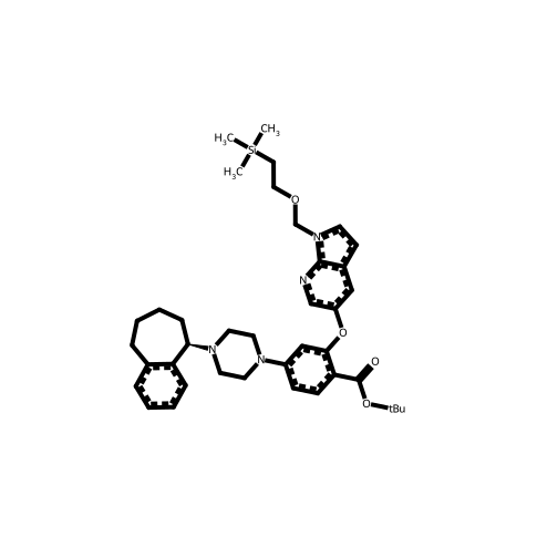 CC(C)(C)OC(=O)c1ccc(N2CCN([C@@H]3CCCCc4ccccc43)CC2)cc1Oc1cnc2c(ccn2COCC[Si](C)(C)C)c1